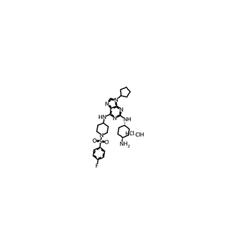 Cl.Cl.N[C@H]1CC[C@H](Nc2nc(NC3CCN(S(=O)(=O)c4ccc(F)cc4)CC3)c3ncn(C4CCCC4)c3n2)CC1